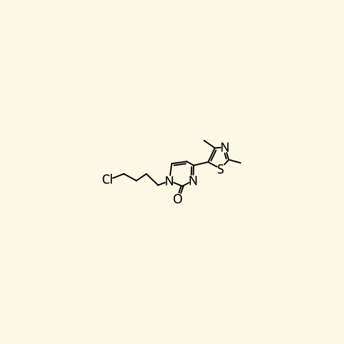 Cc1nc(C)c(-c2ccn(CCCCCl)c(=O)n2)s1